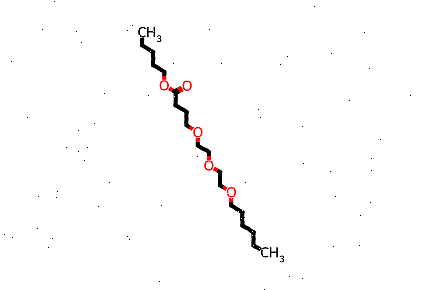 CCCCCCOCCOCCOCCCC(=O)OCCCCC